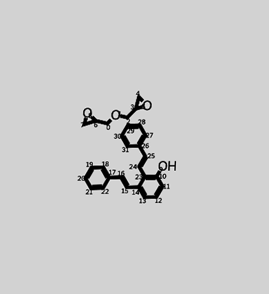 C(OCC1CO1)C1CO1.Oc1cccc(C=Cc2ccccc2)c1C=Cc1ccccc1